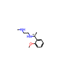 CNCCN[C@@H](C)c1ccccc1OC